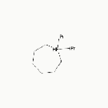 CC(C)[PH]1(C(C)C)CCCCCC1